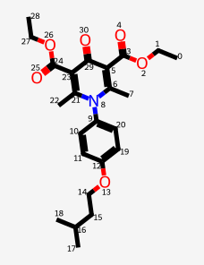 CCOC(=O)c1c(C)n(-c2ccc(OCCC(C)C)cc2)c(C)c(C(=O)OCC)c1=O